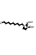 CCCCCCCCCCCCCCCCCCC[n+]1ccn(CCCCCCCCC)c1CCCCCCCCC